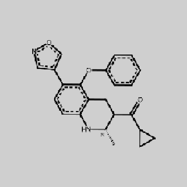 C[C@@H]1Nc2ccc(-c3cnoc3)c(Oc3ccccc3)c2CC1C(=O)C1CC1